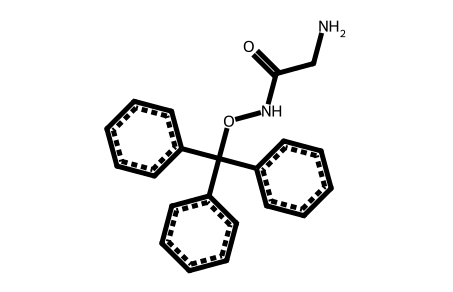 NCC(=O)NOC(c1ccccc1)(c1ccccc1)c1ccccc1